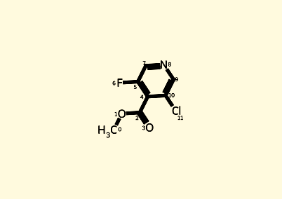 COC(=O)c1c(F)cncc1Cl